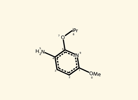 COc1ccc(N)c(OC(C)C)n1